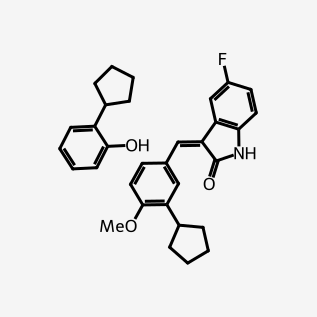 COc1ccc(C=C2C(=O)Nc3ccc(F)cc32)cc1C1CCCC1.Oc1ccccc1C1CCCC1